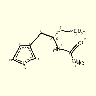 COC(=O)N[C@@H](CC(=O)O)Cc1ccsc1